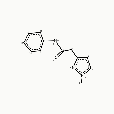 Cn1ccc(CC(=O)Nc2ccccc2)n1